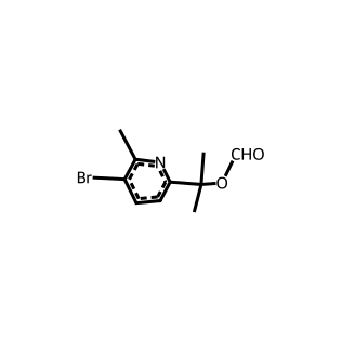 Cc1nc(C(C)(C)OC=O)ccc1Br